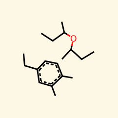 CCC(C)OC(C)CC.CCc1ccc(C)c(C)c1